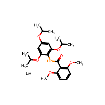 COc1cccc(OC)c1C(=O)Pc1c(OC(C)C)cc(OC(C)C)cc1OC(C)C.[LiH]